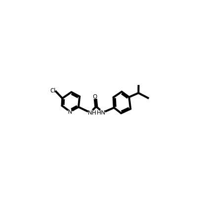 CC(C)c1ccc(NC(=O)Nc2ccc(Cl)cn2)cc1